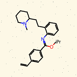 C=Cc1ccc(/C(=N/c2ccccc2CCC2CCCCN2C)OC(C)C)cc1